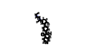 C/C=C\N=C(/C)N1CCC(C)=C(c2ccc(NC(=O)c3ccncc3F)cc2)C1